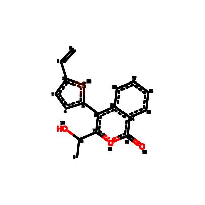 C=Cc1ccc(-c2c(C(C)O)oc(=O)c3ccccc23)s1